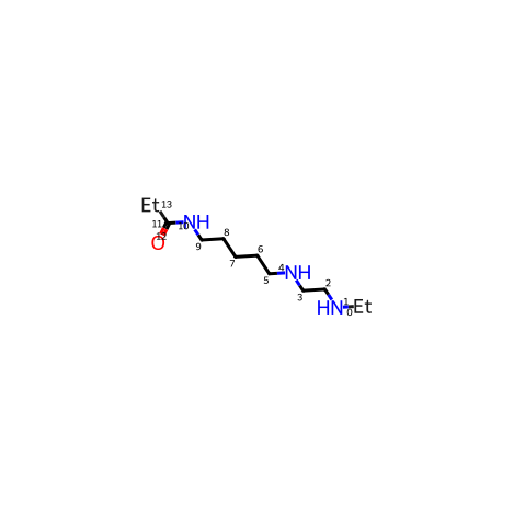 CCNCCNCCCCCNC(=O)CC